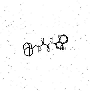 O=C(NCC12CC3CC(CC(C3)C1)C2)C(=O)Nc1c[nH]c2cccnc12